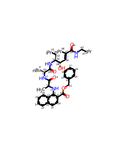 CCCC[C@H](NC(=O)C(C)Nc1c(C(=O)OCc2ccccc2)ccc2ccccc12)C(=O)N[C@@H](CC(C)C)[C@@H](O)/C=C(\CCC)C(=O)NCC(C)C